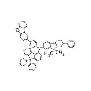 CC1(C)c2cc(-c3ccccc3)ccc2-c2ccc(N(c3ccc(-c4ccc5oc6ccccc6c5c4)cc3)c3cccc4c3-c3ccccc3C4(c3ccccc3)c3ccccc3)cc21